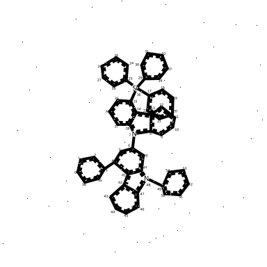 c1ccc(-c2cc(-n3c4ccccc4c4c([Si](c5ccccc5)(c5ccccc5)c5ccccc5)cccc43)cc3c2c2ccccc2n3-c2ccccc2)cc1